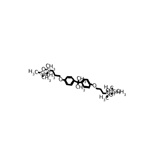 C[SiH](C)O[Si](C)(C)CCCOc1ccc(C(C)(C)c2ccc(OCCC[Si](C)(C)O[SiH](C)C)cc2)cc1